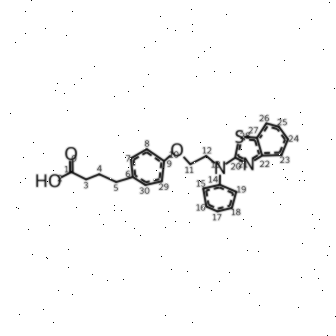 O=C(O)CCCc1ccc(OCCN(c2ccccc2)c2nc3ccccc3s2)cc1